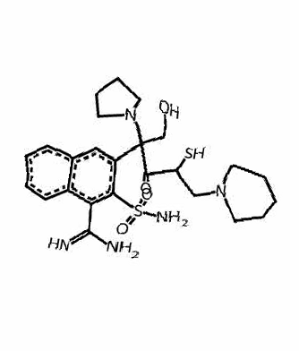 N=C(N)c1c(S(N)(=O)=O)c(C(CO)(C(=O)C(S)CN2CCCCC2)N2CCCC2)cc2ccccc12